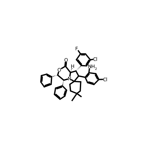 CC1(C)CCC2(CC1)C(c1ccc(Cl)cc1N)[C@@H](c1cc(F)cc(Cl)c1)[C@@H]1C(=O)O[C@@H](c3ccccc3)[C@@H](c3ccccc3)N12